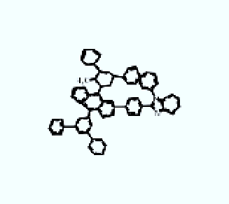 CC1C(C2C=CC=CC2)=CC(c2ccccc2)CC1c1c2ccccc2c(-c2cc(-c3ccccc3)cc(-c3ccccc3)c2)c2ccc(-c3ccc(-c4nc5ccccc5n4-c4ccccc4)cc3)cc12